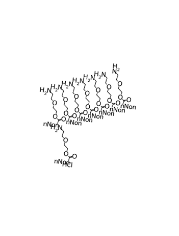 CCCCCCCCCC(=O)OCCOCCN.CCCCCCCCCC(=O)OCCOCCN.CCCCCCCCCC(=O)OCCOCCN.CCCCCCCCCC(=O)OCCOCCN.CCCCCCCCCC(=O)OCCOCCN.CCCCCCCCCC(=O)OCCOCCN.CCCCCCCCCC(=O)OCCOCCN.CCCCCCCCCC(=O)OCCOCCN.Cl